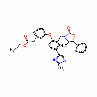 CCOC(=O)Cc1cccc(Oc2ccc(-c3cnc(C)[nH]3)cc2CN2C(=O)OC(c3ccccc3)C2C)c1